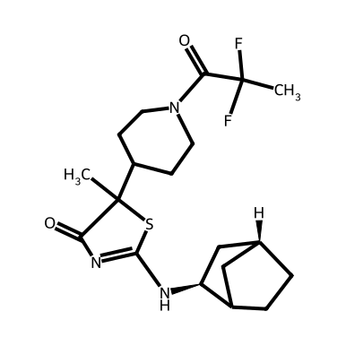 CC(F)(F)C(=O)N1CCC(C2(C)SC(N[C@H]3C[C@@H]4CCC3C4)=NC2=O)CC1